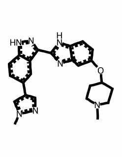 CN1CCC(Oc2ccc3[nH]c(-c4n[nH]c5ccc(-c6cnn(C)c6)cc45)nc3c2)CC1